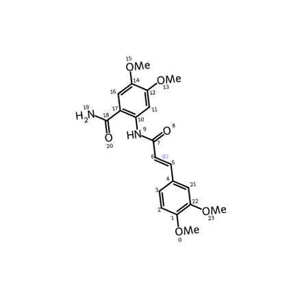 COc1ccc(/C=C/C(=O)Nc2cc(OC)c(OC)cc2C(N)=O)cc1OC